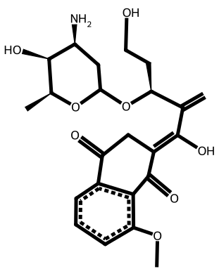 C=C(/C(O)=C1\CC(=O)c2cccc(OC)c2C1=O)[C@H](CCO)OC1C[C@H](N)[C@H](O)[C@H](C)O1